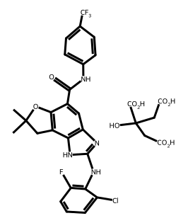 CC1(C)Cc2c(c(C(=O)Nc3ccc(C(F)(F)F)cc3)cc3nc(Nc4c(F)cccc4Cl)[nH]c23)O1.O=C(O)CC(O)(CC(=O)O)C(=O)O